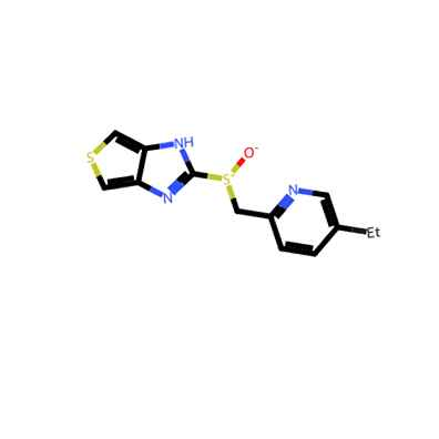 CCc1ccc(C[S+]([O-])c2nc3cscc3[nH]2)nc1